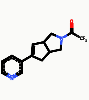 O=C(N1CC2C=C(c3cccnc3)CC2C1)C(F)(F)F